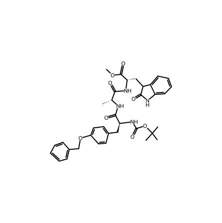 COC(=O)[C@H](CC1C(=O)Nc2ccccc21)NC(=O)[C@@H](C)NC(=O)[C@H](Cc1ccc(OCc2ccccc2)cc1)NC(=O)OC(C)(C)C